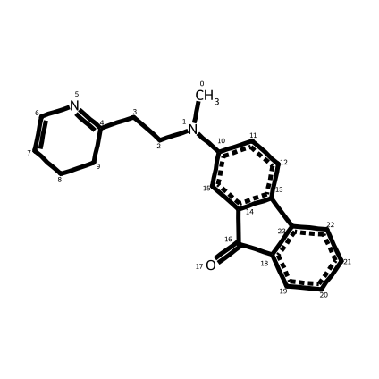 CN(CCC1=NC=CCC1)c1ccc2c(c1)C(=O)c1ccccc1-2